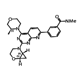 CNC(=O)c1cccc(-c2ccc3c(N4CCOC[C@@H]4C)nc(N4CCO[C@H]5C[C@H]54)nc3n2)c1